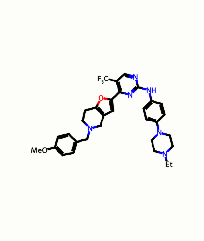 CCN1CCN(c2ccc(Nc3ncc(C(F)(F)F)c(-c4cc5c(o4)CCN(Cc4ccc(OC)cc4)C5)n3)cc2)CC1